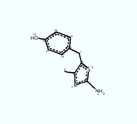 Cc1nc(N)sc1Cc1ccc(O)cc1